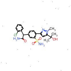 Cn1nc(-c2ccc(C(C(N)=O)c3ccccc3Cl)cc2S(N)(=O)=O)cc1C(C)(C)O